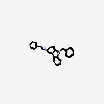 C(=C\c1ccc2c(c1)c1ccccc1n2Cc1ccccc1)/c1ccccc1